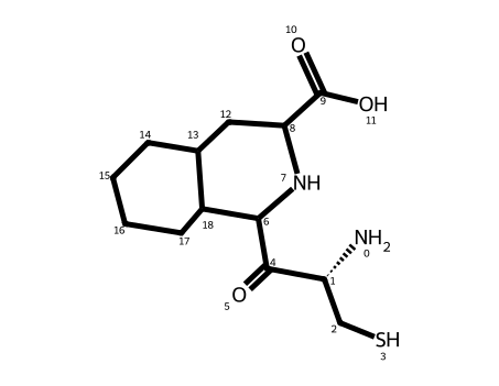 N[C@H](CS)C(=O)C1NC(C(=O)O)CC2CCCCC21